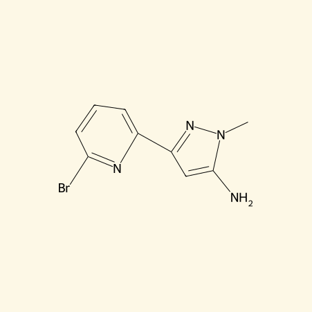 Cn1nc(-c2cccc(Br)n2)cc1N